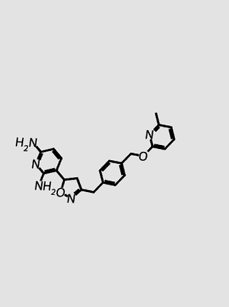 Cc1cccc(OCc2ccc(CC3=NOC(c4ccc(N)nc4N)C3)cc2)n1